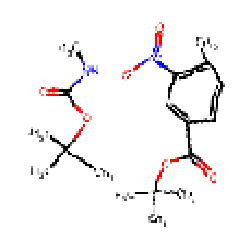 CNC(=O)OC(C)(C)C.Cc1ccc(C(=O)OC(C)(C)C)cc1[N+](=O)[O-]